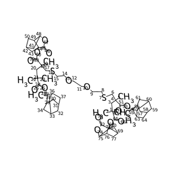 CC(C)(CC(C)(CSCCOCCOCCSCC(C)(CC(C)(C)C(=O)OC1(C)C2CC3CC(C2)CC1C3)C(=O)OC1C2CC3C(=O)OC1C3C2)C(=O)OC1(C)C2CC3CC(C2)CC1C3)C(=O)OC1C2CC3C(=O)OC1C3C2